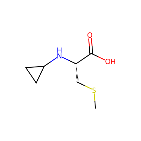 CSC[C@H](NC1CC1)C(=O)O